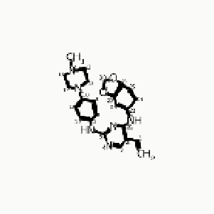 C=Cc1cnc(Nc2ccc(N3CCN(C)CC3)cc2)nc1Nc1ccc2c(c1)OCO2